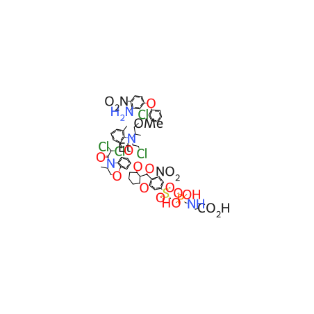 CC1COc2ccccc2N1C(=O)C(Cl)Cl.CCc1cccc(C)c1N(C(=O)CCl)C(C)COC.CS(=O)(=O)c1ccc(C(=O)C2C(=O)CCCC2=O)c([N+](=O)[O-])c1.Nc1c([N+](=O)[O-])ccc(Oc2ccccc2)c1Cl.O=C(O)CNCP(=O)(O)O